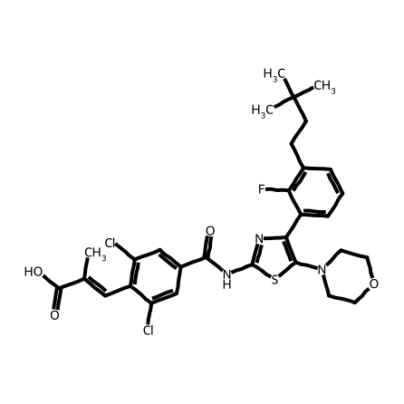 CC(=Cc1c(Cl)cc(C(=O)Nc2nc(-c3cccc(CCC(C)(C)C)c3F)c(N3CCOCC3)s2)cc1Cl)C(=O)O